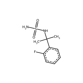 CC(C)(NS(N)(=O)=O)c1ccccc1F